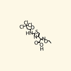 CCON=C(C(=O)O)c1csc(NC(=O)CC(Cl)(Cl)Cl)n1